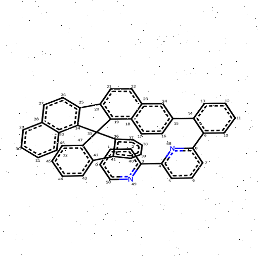 c1ccc(-c2cccc(-c3ccccc3-c3ccc4c5c(ccc4c3)-c3ccc4ccccc4c3C53c4ccccc4-c4ccccc43)n2)nc1